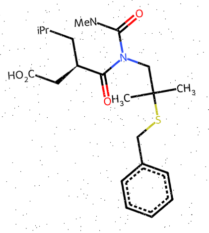 CNC(=O)N(CC(C)(C)SCc1ccccc1)C(=O)[C@@H](CC(=O)O)CC(C)C